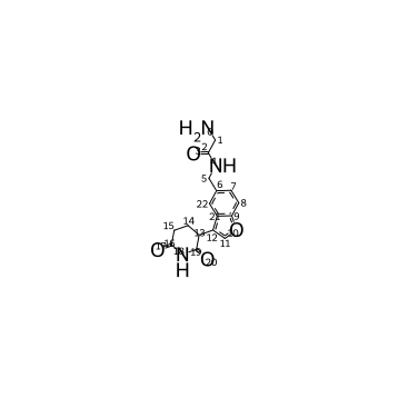 NCC(=O)NCc1ccc2occ(C3CCC(=O)NC3=O)c2c1